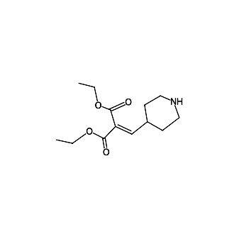 CCOC(=O)C(=CC1CCNCC1)C(=O)OCC